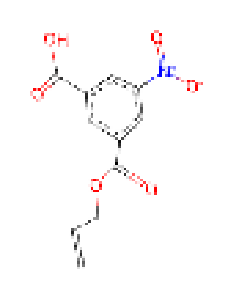 C=CCOC(=O)c1cc(C(=O)O)cc([N+](=O)[O-])c1